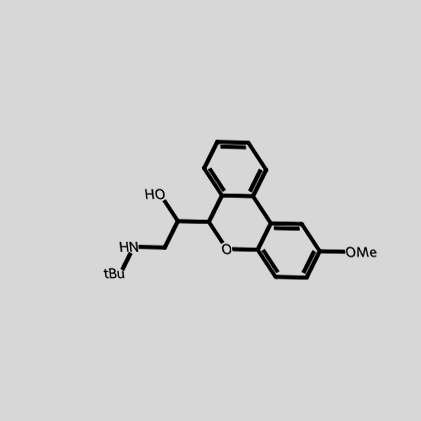 COc1ccc2c(c1)-c1ccccc1C(C(O)CNC(C)(C)C)O2